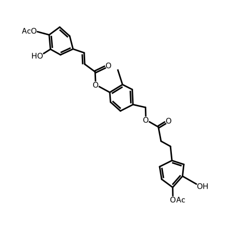 CC(=O)Oc1ccc(/C=C/C(=O)Oc2ccc(COC(=O)CCc3ccc(OC(C)=O)c(O)c3)cc2C)cc1O